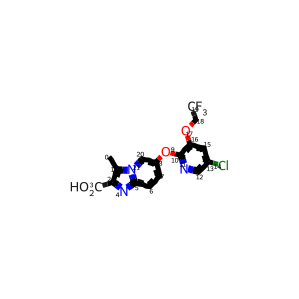 Cc1c(C(=O)O)nc2ccc(Oc3ncc(Cl)cc3OCC(F)(F)F)cn12